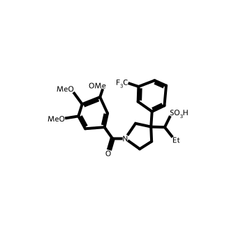 CCC(C1(c2cccc(C(F)(F)F)c2)CCN(C(=O)c2cc(OC)c(OC)c(OC)c2)C1)S(=O)(=O)O